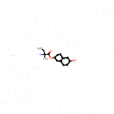 CCC(C)(I)C(=O)Oc1ccc2cc(O)ccc2c1